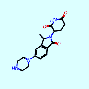 CC1c2cc(N3CCNCC3)ccc2C(=O)N1C1CCC(=O)NC1=O